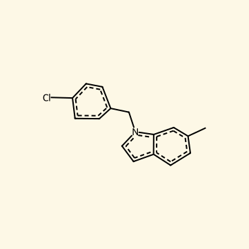 Cc1ccc2ccn(Cc3ccc(Cl)cc3)c2c1